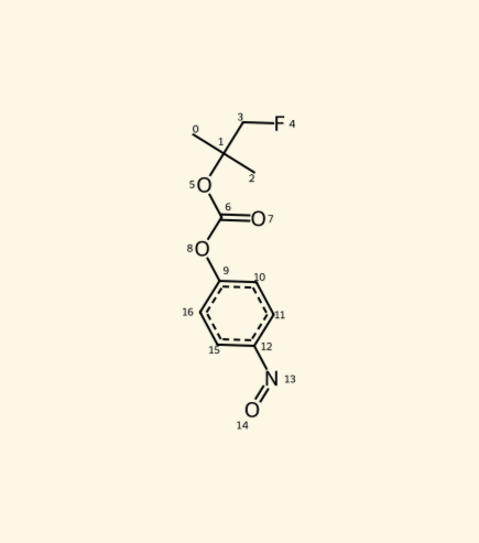 CC(C)(CF)OC(=O)Oc1ccc(N=O)cc1